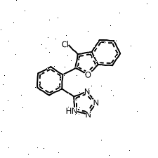 Clc1c(-c2ccccc2-c2nnn[nH]2)oc2cc[c]cc12